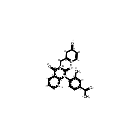 CC(=O)c1ccc(-n2c(=O)n(CC3=NC=CC(=O)C3)c(=O)c3cccnc32)c(C)c1